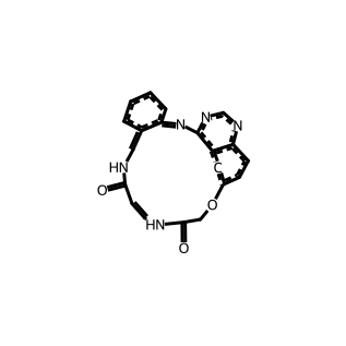 O=C1/C=C\NC(=O)COc2ccc3ncnc(c3c2)/N=c2/cccc/c2=C/N1